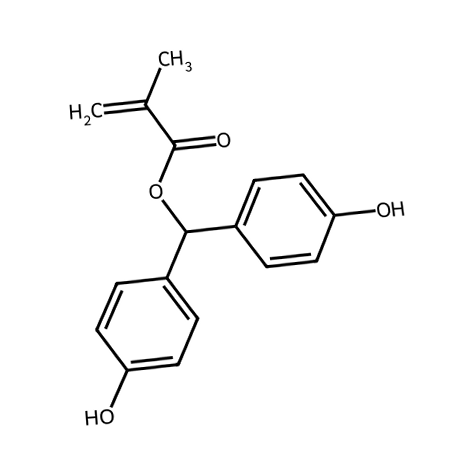 C=C(C)C(=O)OC(c1ccc(O)cc1)c1ccc(O)cc1